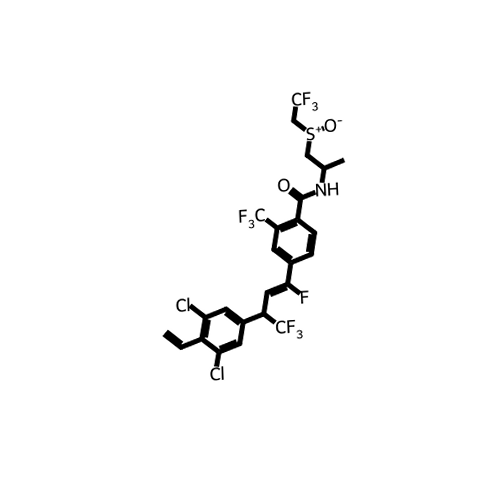 C=Cc1c(Cl)cc(C(/C=C(\F)c2ccc(C(=O)NC(C)C[S+]([O-])CC(F)(F)F)c(C(F)(F)F)c2)C(F)(F)F)cc1Cl